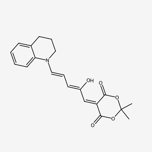 CC1(C)OC(=O)C(=C/C(O)=C/C=C/N2CCCc3ccccc32)C(=O)O1